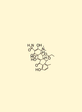 CCC(=O)O[C@H]1[C@H]2C(=C(O)[C@]3(O)C(=O)C(C(N)=O)=C(O)[C@@H](N(C)C)[C@H]13)C(=O)c1c(O)ccc(C)c1[C@@H]2C